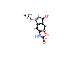 CCC1=CC(=O)c2cc3oc(=O)[nH]c3cc21